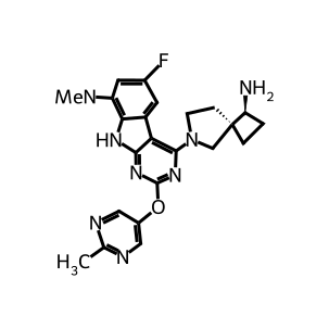 CNc1cc(F)cc2c1[nH]c1nc(Oc3cnc(C)nc3)nc(N3CC[C@]4(CC[C@@H]4N)C3)c12